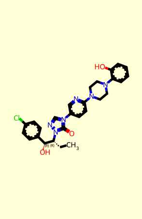 CC[C@H]([C@H](O)c1ccc(Cl)cc1)n1ncn(-c2ccc(N3CCN(c4ccccc4O)CC3)nc2)c1=O